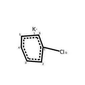 Clc1ccccc1.[K]